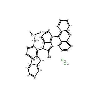 CCC1=Cc2c(-c3c4ccccc4cc4ccccc34)cccc2C1c1[c]([Zr+2][SiH](C)C)ccc2c1Cc1ccccc1-2.[Cl-].[Cl-]